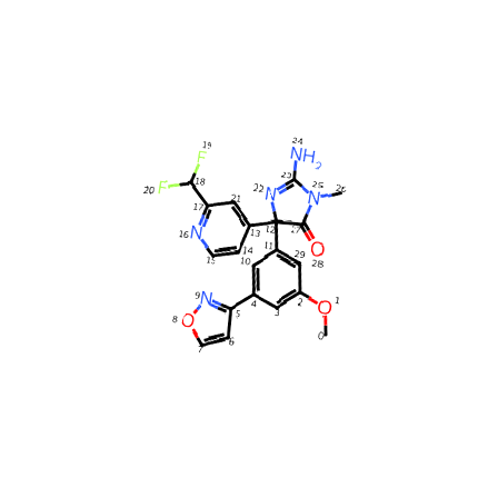 COc1cc(-c2ccon2)cc(C2(c3ccnc(C(F)F)c3)N=C(N)N(C)C2=O)c1